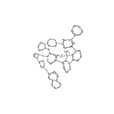 CS1(C)c2c(-c3ccc4c(c3)Oc3ccccc3C43c4ccccc4-c4ccc(-c5ccc6ccccc6c5)cc43)cccc2-c2cccc(-c3nc(-c4ccccc4)nc(-c4ccccc4)n3)c21